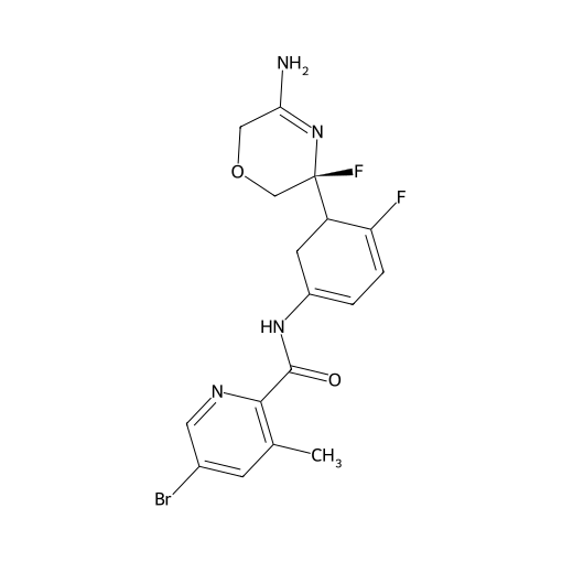 Cc1cc(Br)cnc1C(=O)NC1=CC=C(F)C([C@]2(F)COCC(N)=N2)C1